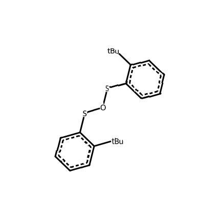 CC(C)(C)c1ccccc1SOSc1ccccc1C(C)(C)C